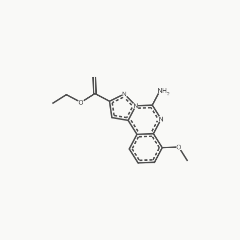 C=C(OCC)c1cc2c3cccc(OC)c3nc(N)n2n1